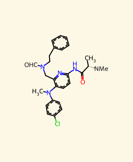 CN[C@@H](C)C(=O)Nc1ccc(N(C)c2ccc(Cl)cc2)c(CN(C=O)CCc2ccccc2)n1